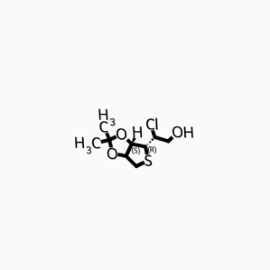 CC1(C)OC2CS[C@@H](C(Cl)CO)[C@H]2O1